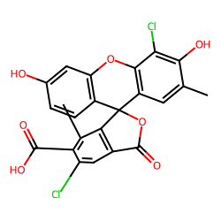 Cc1cc2c(c(Cl)c1O)Oc1cc(O)ccc1C21OC(=O)c2cc(Cl)c(C(=O)O)c(C)c21